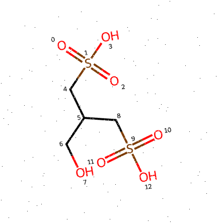 O=S(=O)(O)CC(CO)CS(=O)(=O)O